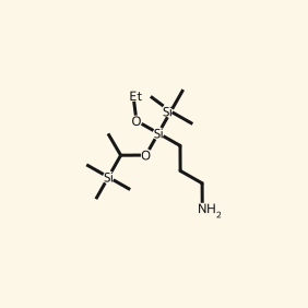 CCO[Si](CCCN)(OC(C)[Si](C)(C)C)[Si](C)(C)C